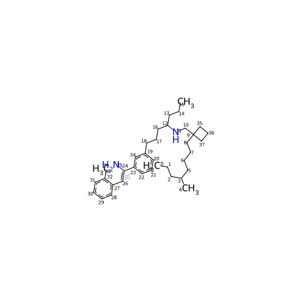 CCCC(C)CCCCC1(CNC(CCC)CCCc2cccc(/C(N)=C/c3ccccc3C)c2)CCC1